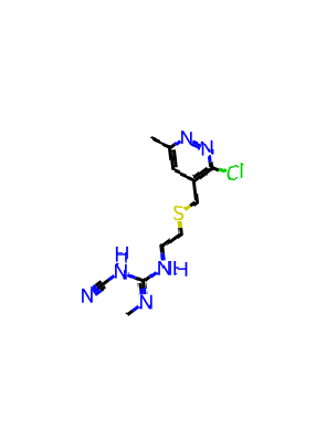 C/N=C(\NC#N)NCCSCc1cc(C)nnc1Cl